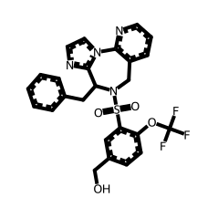 O=S(=O)(c1cc(CO)ccc1OC(F)(F)F)N1Cc2cccnc2-n2ccnc2C1Cc1ccccc1